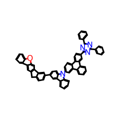 c1ccc(-c2nc(-c3ccccc3)nc(-c3ccc4c5ccc(-n6c7ccccc7c7cc(-c8ccc9c(c8)-c8cc%10oc%11ccccc%11c%10cc8C9)ccc76)cc5c5ccccc5c4c3)n2)cc1